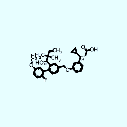 C=CC(C)(C)[C@@H](O)c1cc(COc2cccc([C@@H](CC(=O)O)C3CC3)c2)ccc1-c1cc(OC)ccc1F